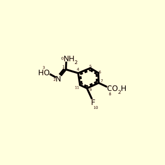 NC(=NO)c1ccc(C(=O)O)c(F)c1